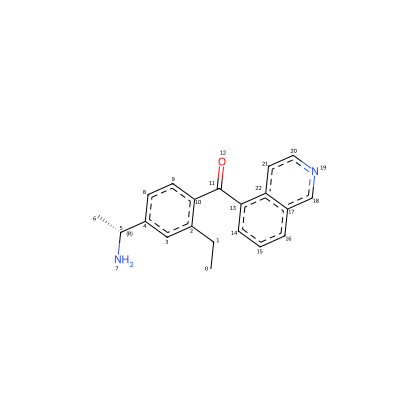 CCc1cc([C@@H](C)N)ccc1C(=O)c1cccc2cnccc12